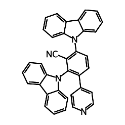 N#Cc1c(-n2c3ccccc3c3ccccc32)ccc(-c2ccncc2)c1-n1c2ccccc2c2ccccc21